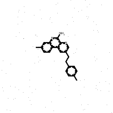 Cc1ccc(CCc2cnc3c(N)nc4cc(C)ccc4c3c2)cc1